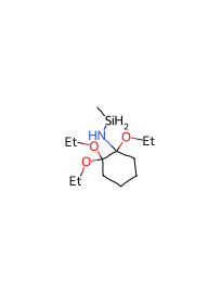 CCOC1(N[SiH2]C)CCCCC1(OCC)OCC